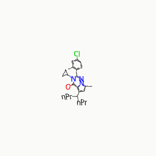 CCCC(CCC)c1cc(C)n2nc(-c3ccc(Cl)cc3C)n(C3CC3)c(=O)c12